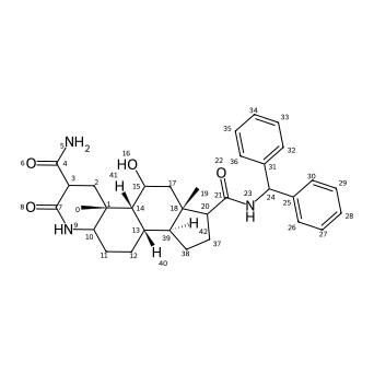 C[C@]12CC(C(N)=O)C(=O)NC1CC[C@@H]1[C@H]2C(O)C[C@]2(C)C(C(=O)NC(c3ccccc3)c3ccccc3)CC[C@@H]12